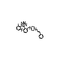 Cc1cccc(C)c1-n1nnnc1-c1c(F)cccc1CN1CCN(CC=Cc2ccccc2)CC1